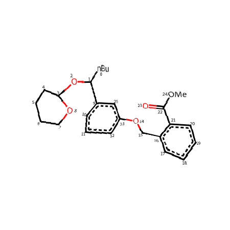 CCCCC(OC1CCCCO1)c1cccc(OCc2ccccc2C(=O)OC)c1